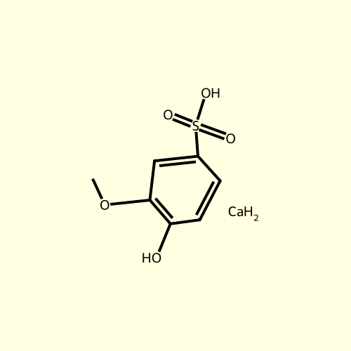 COc1cc(S(=O)(=O)O)ccc1O.[CaH2]